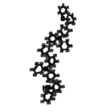 C1=CC2c3ccccc3OC2C(C2=CC=C(N(C3=CCCC=C3)c3cccc(-c4cccc(-c5cccc(N(c6ccc(-c7cccc8c7[nH]c7ccccc78)cc6)C6CC=CCC6)c5)c4)c3)CC2)=C1